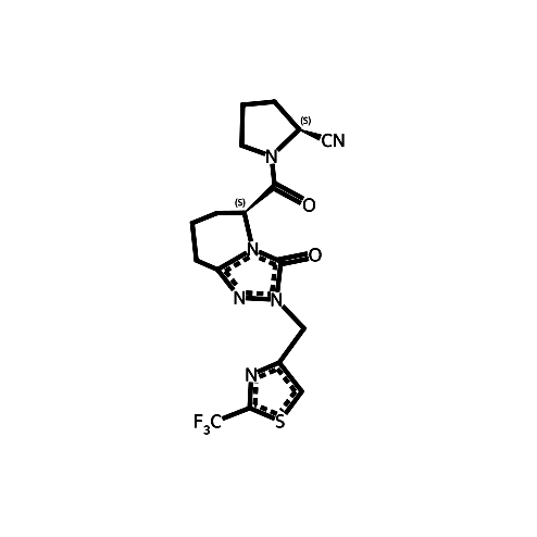 N#C[C@@H]1CCCN1C(=O)[C@@H]1CCCc2nn(Cc3csc(C(F)(F)F)n3)c(=O)n21